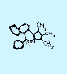 CC1=C(C)C(C)C(c2ccc3ccccc3c2C(O)c2ccccc2)=C1C